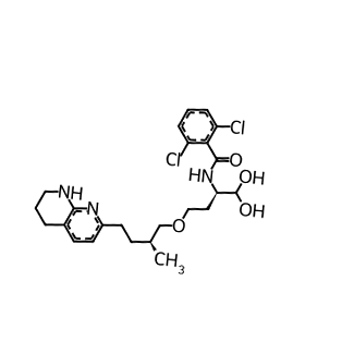 C[C@@H](CCc1ccc2c(n1)NCCC2)COCC[C@@H](NC(=O)c1c(Cl)cccc1Cl)C(O)O